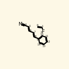 C=CF.N#CC=CC=Cc1ccccc1